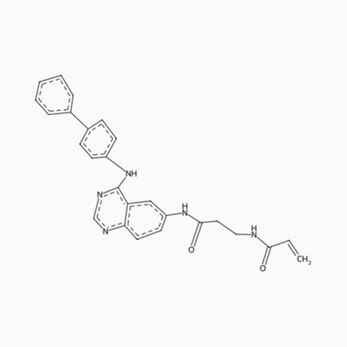 C=CC(=O)NCCC(=O)Nc1ccc2ncnc(Nc3ccc(-c4ccccc4)cc3)c2c1